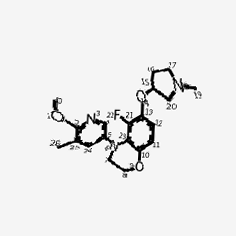 COc1ncc(N2CCOc3ccc(O[C@H]4CCN(C)C4)c(F)c32)cc1C